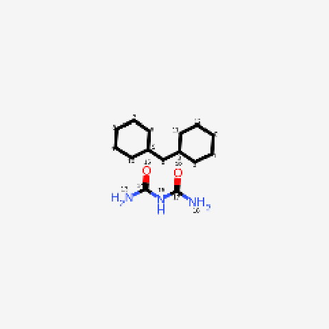 C1CCC(CC2CCCCC2)CC1.NC(=O)NC(N)=O